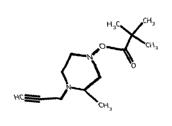 C#CCN1CCN(OC(=O)C(C)(C)C)CC1C